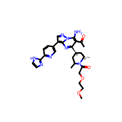 COCCOCC(=O)N1C(C)C[C@@H](c2nc3c(-c4ccc(-c5ncc[nH]5)nc4)cnn3c(N)c2C(C)=O)C[C@@H]1C